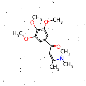 COc1cc(C(=O)C=C(C)N(C)C)cc(OC)c1OC